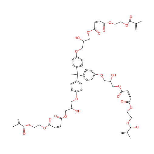 C=C(C)C(=O)OCCOC(=O)/C=C\C(=O)OCC(O)COc1ccc(C(C)(c2ccc(OCC(O)COC(=O)/C=C\C(=O)OCCOC(=O)C(=C)C)cc2)c2ccc(OCC(O)COC(=O)/C=C\C(=O)OCCOC(=O)C(=C)C)cc2)cc1